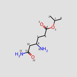 CC(C)OC(=O)CCC(N)CC(N)=O